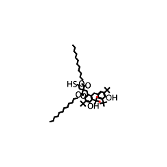 CCCCCCCCCCCCOC(=O)C(CCS)(Cc1cc(C(C)(C)C)c(O)c(C(C)(C)C)c1Cc1cc(C(C)(C)C)c(O)c(C(C)(C)C)c1)C(=O)OCCCCCCCCCCCC